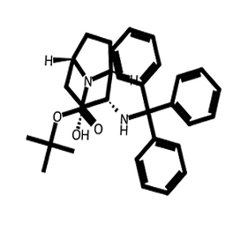 CC(C)(C)OC(=O)N1[C@H]2CC[C@@H]1[C@H](NC(c1ccccc1)(c1ccccc1)c1ccccc1)[C@H](O)C2